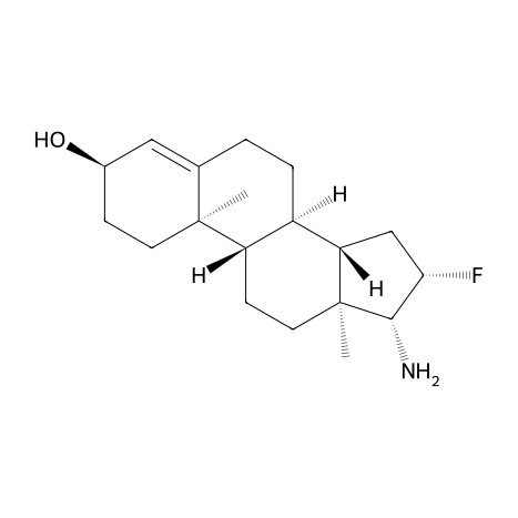 C[C@]12CC[C@H]3[C@@H](CCC4=C[C@H](O)CC[C@@]43C)[C@@H]1C[C@H](F)[C@@H]2N